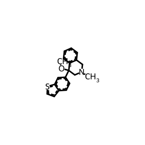 COC1(c2ccc3ccsc3c2)CN(C)Cc2ccccc21